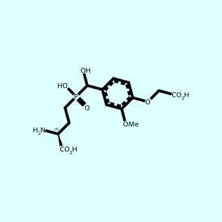 COc1cc(C(O)P(=O)(O)CC[C@H](N)C(=O)O)ccc1OCC(=O)O